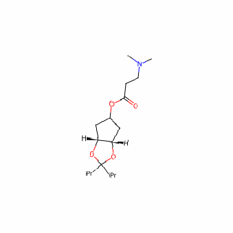 CC(C)C1(C(C)C)O[C@H]2CC(OC(=O)CCN(C)C)C[C@H]2O1